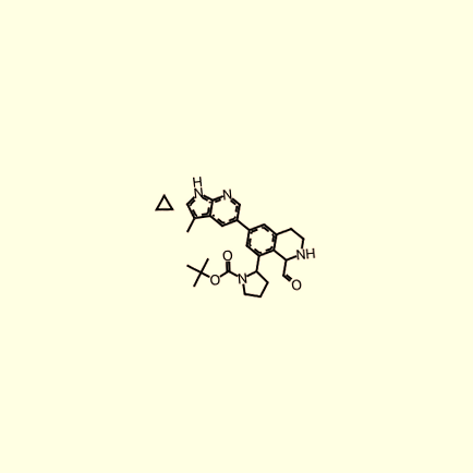 C1CC1.Cc1c[nH]c2ncc(-c3cc4c(c(C5CCCN5C(=O)OC(C)(C)C)c3)C(C=O)NCC4)cc12